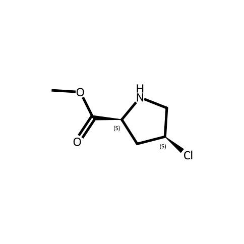 COC(=O)[C@@H]1C[C@H](Cl)CN1